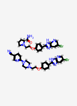 N#Cc1ccc(N2CCN(CCOc3ccc(-c4nc5cc(Br)cnc5[nH]4)cc3)CC2)nc1.NC(=O)[C@@H]1CCCN1CCOc1ccc(-c2nc3cc(Br)cnc3[nH]2)cc1